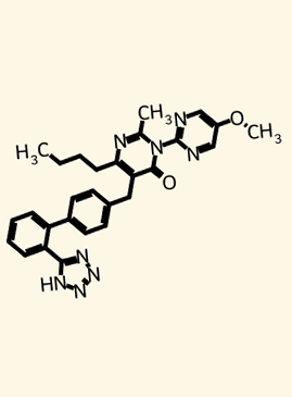 CCCCc1nc(C)n(-c2ncc(OC)cn2)c(=O)c1Cc1ccc(-c2ccccc2-c2nnn[nH]2)cc1